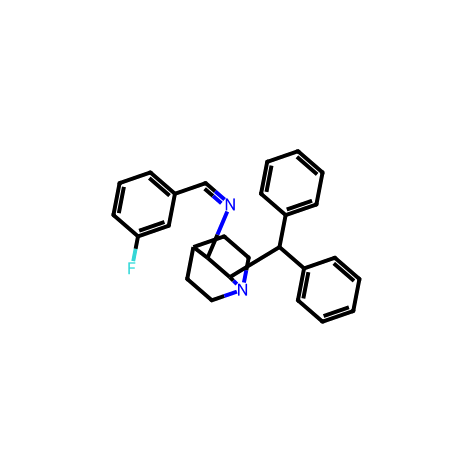 Fc1cccc(/C=N\C2C3CCN(CC3)C2C(c2ccccc2)c2ccccc2)c1